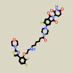 O=C1CCC(N2C(=O)c3cc(F)c(N4CCN(C(=O)CCCCCNCCOc5c(-c6csc(N7CCOCC7)n6)ccc(F)c5F)CC4)cc3C2=O)C(=O)N1